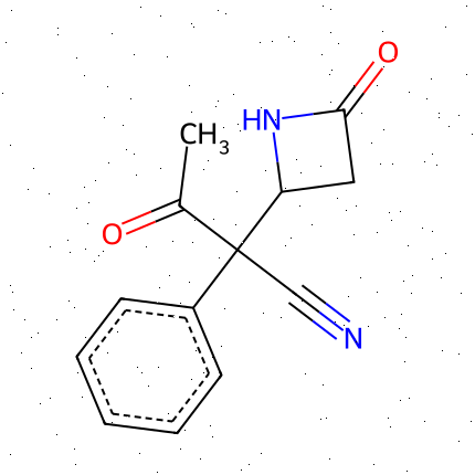 CC(=O)C(C#N)(c1ccccc1)C1CC(=O)N1